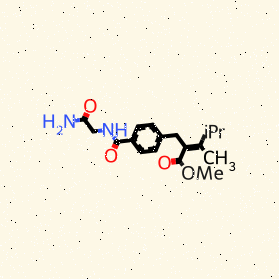 COC(=O)/C(Cc1ccc(C(=O)NCC(N)=O)cc1)=C(\C)C(C)C